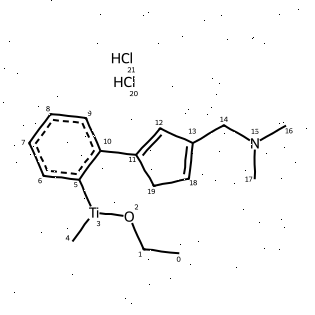 CC[O][Ti]([CH3])[c]1ccccc1C1=CC(CN(C)C)=CC1.Cl.Cl